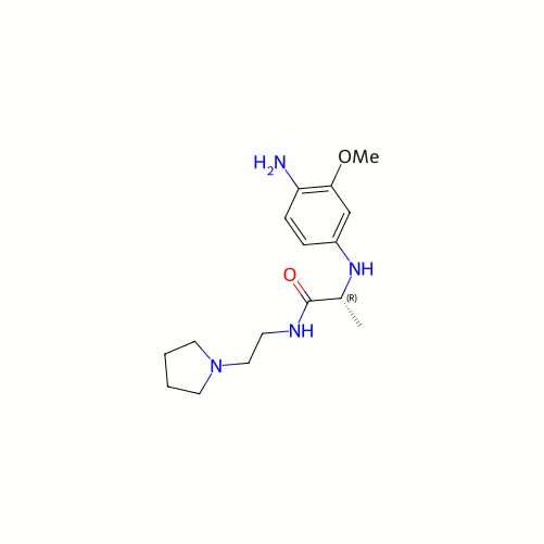 COc1cc(N[C@H](C)C(=O)NCCN2CCCC2)ccc1N